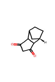 O=C1CC(=O)C2C1C1CC[C@H]2C1